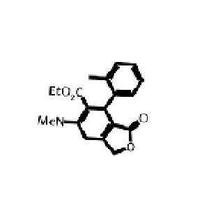 CCOC(=O)C1=C(NC)CC2=C(C(=O)OC2)C1c1ccccc1C